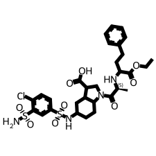 CCOC(=O)C(CCc1ccccc1)N[C@@H](C)C(=O)N1CC(C(=O)O)C2CC(NS(=O)(=O)c3ccc(Cl)c(S(N)(=O)=O)c3)CCC21